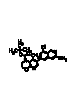 Cc1c(-c2cc(Cl)c3cnc(N)cc3c2)cnc2c1N(C(=O)OC(C)(C)C)CCO2